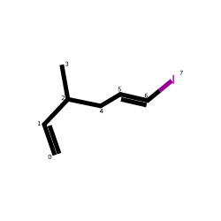 C=CC(C)CC=CI